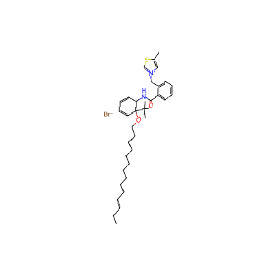 CCCCCCCCCCCCCCOC1(C(C)(C)C)C=CC=CC1NC(=O)c1ccccc1C[n+]1csc(C)c1.[Br-]